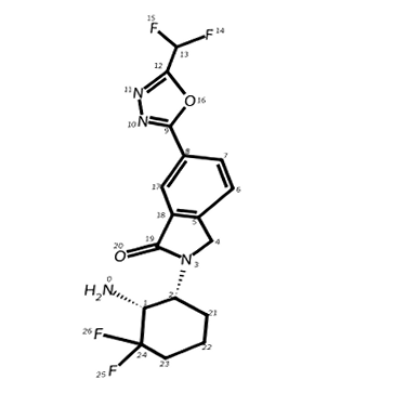 N[C@@H]1[C@H](N2Cc3ccc(-c4nnc(C(F)F)o4)cc3C2=O)CCCC1(F)F